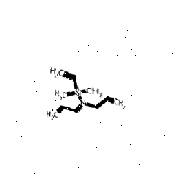 C=CCN(CC=C)[Si](C)(C)C=C